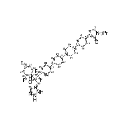 CC(C)n1ccn(-c2ccc(N3CCN(c4ccc(-c5ccc(C(F)(F)C(O)(CN6C=NNN6)c6ccc(F)cc6F)nc5)cc4)CC3)cc2)c1=O